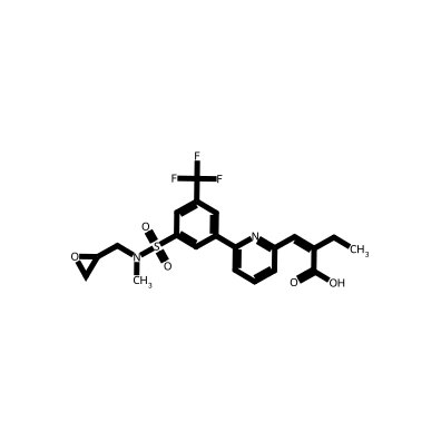 CCC(=Cc1cccc(-c2cc(C(F)(F)F)cc(S(=O)(=O)N(C)CC3CO3)c2)n1)C(=O)O